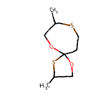 CC1COC2(CCS1)OCC(C)S2